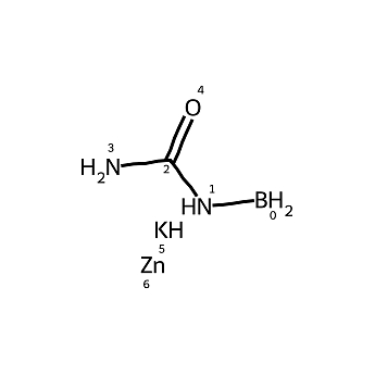 BNC(N)=O.[KH].[Zn]